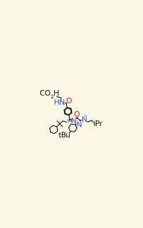 CC(C)CCN(C)C1=NC2(CCC(C(C)(C)C)CC2)N([C@H](CCC(C)(C)C2CCCCC2)c2ccc(C(=O)NCCC(=O)O)cc2)C1=O